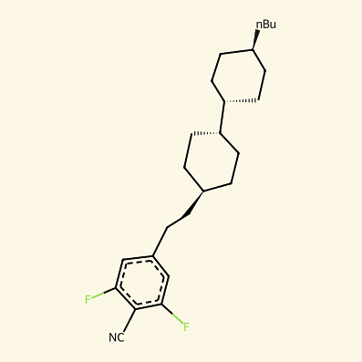 CCCC[C@H]1CC[C@H]([C@H]2CC[C@H](CCc3cc(F)c(C#N)c(F)c3)CC2)CC1